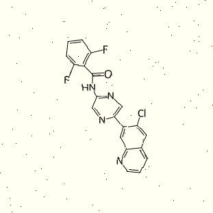 O=C(Nc1cnc(-c2cc3ncccc3cc2Cl)cn1)c1c(F)cccc1F